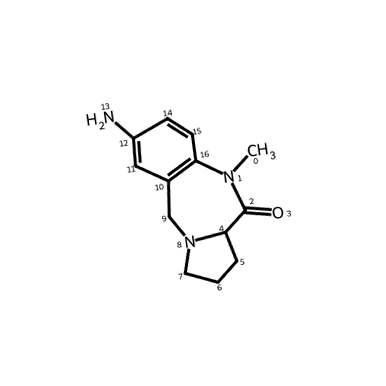 CN1C(=O)C2CCCN2Cc2cc(N)ccc21